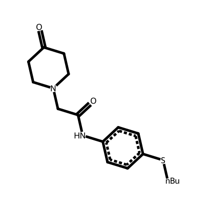 CCCCSc1ccc(NC(=O)CN2CCC(=O)CC2)cc1